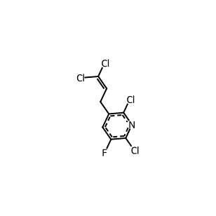 Fc1cc(CC=C(Cl)Cl)c(Cl)nc1Cl